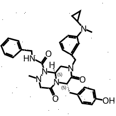 CN(c1cccc(CN2C[C@H]3N(C(=O)CN(C)N3C(=O)NCc3ccccc3)[C@@H](Cc3ccc(O)cc3)C2=O)c1)C1CC1